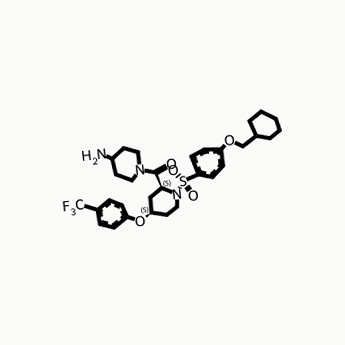 NC1CCN(C(=O)[C@@H]2C[C@@H](Oc3ccc(C(F)(F)F)cc3)CCN2S(=O)(=O)c2ccc(OCC3CCCCC3)cc2)CC1